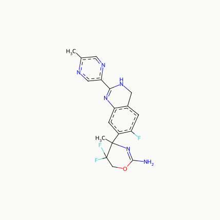 Cc1cnc(C2=Nc3cc(C4(C)N=C(N)OCC4(F)F)c(F)cc3CN2)cn1